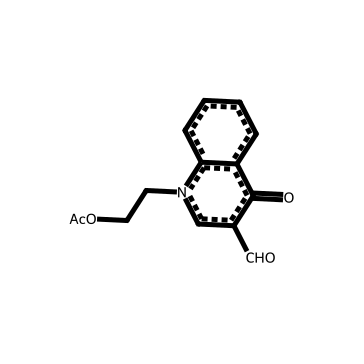 CC(=O)OCCn1cc(C=O)c(=O)c2ccccc21